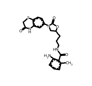 Cc1cccc(N)c1C(=O)NCCCC1CN(c2ccc3c(c2)NC(=O)CS3)C(=O)O1